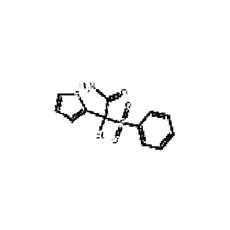 CCC(C(N)=O)(c1cccs1)S(=O)(=O)c1cc[c]cc1